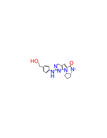 CN(C)C(=O)c1cc2cnc(Nc3ccc(CCO)cc3)nc2n1C1CCCC1